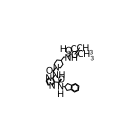 CC(C)(C)OC(=O)NCC1CCN(C(=O)Nc2nccnc2C(=O)NC2Cc3ccccc3C2)CC1